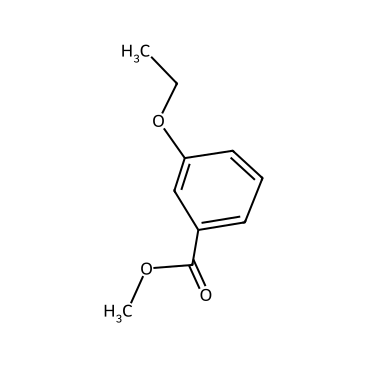 CCOc1cccc(C(=O)OC)c1